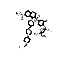 CCN1CCC(N2CCN(C3CCN(c4c(S(=O)(=O)c5ccc(OC(C)(C)CC(C)(C)C)c(F)c5)cnc5ccc([S+](C)[O-])cc45)CC3)CC2)CC1